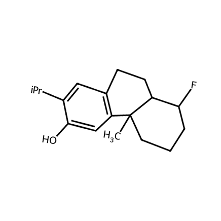 CC(C)c1cc2c(cc1O)C1(C)CCCC(F)C1CC2